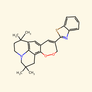 CC1(C)Cc2c3c(cc4c2N(CCC4(C)C)C1)C=C(c1nc2ccccc2s1)COO3